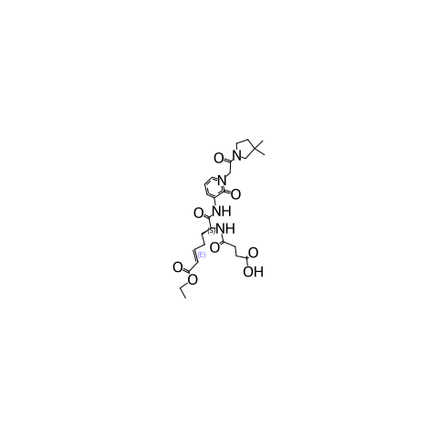 CCOC(=O)/C=C/CC[C@H](NC(=O)CCC(=O)O)C(=O)Nc1cccn(CC(=O)N2CCC(C)(C)C2)c1=O